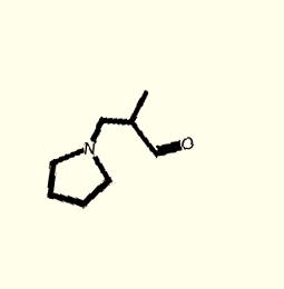 CC([C]=O)CN1CCCC1